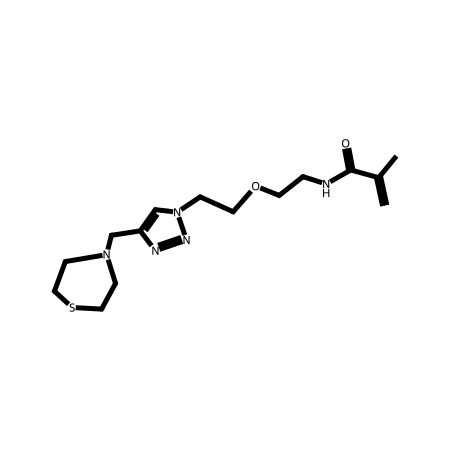 C=C(C)C(=O)NCCOCCn1cc(CN2CCSCC2)nn1